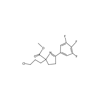 COC(=O)C1(CCCCl)CCC(c2cc(F)c(F)c(F)c2)=N1